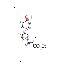 CCOC(=O)C[C@@H](C)c1nc(-c2ccc(O)cc2)cs1